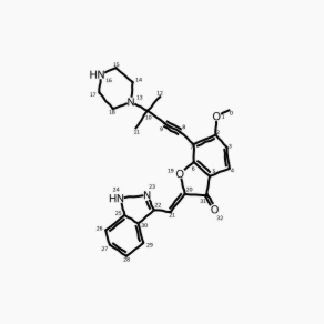 COc1ccc2c(c1C#CC(C)(C)N1CCNCC1)O/C(=C\c1n[nH]c3ccccc13)C2=O